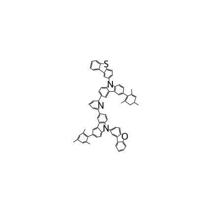 CC1=CC(C)CC(C)=C1c1ccc2c(c1)c1cc(-c3cccc(-c4ccc5c(c4)c4cc(-c6c(C)cc(C)cc6C)ccc4n5-c4ccc5oc6ccccc6c5c4)n3)ccc1n2-c1ccc2sc3ccccc3c2c1